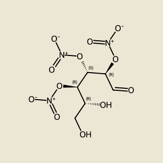 O=C[C@H](O[N+](=O)[O-])[C@@H](O[N+](=O)[O-])[C@H](O[N+](=O)[O-])[C@H](O)CO